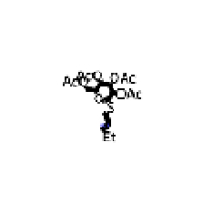 CC/C=C/CS[C@@H]1OC(COC(C)=O)[C@@H](OC(C)=O)[C@H](OC(C)=O)C1OC(C)=O